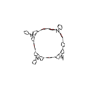 In1c2ccc3cc2c2cc(ccc21)-c1ccc(cc1)-c1ccc2c(c1)c1cc(ccc1n2-c1ccccc1)-c1ccc(cc1)-c1ccc2c(c1)c1cc(ccc1n2-c1ccccc1)-c1ccc(cc1)-c1ccc(cc1)N(c1ccccc1)c1ccc(cc1)-c1ccc-3cc1